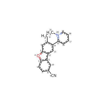 Cc1cc2oc3ccc(C#N)cc3c2cc1-c1cccc[n+]1C